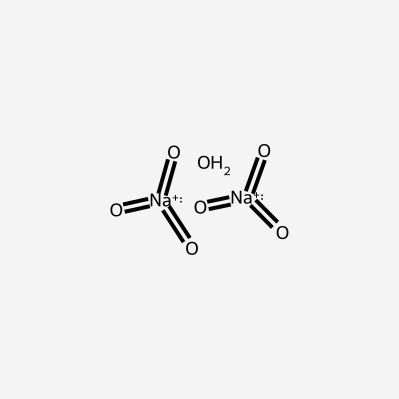 O.[O]=[Na+](=[O])=[O].[O]=[Na+](=[O])=[O]